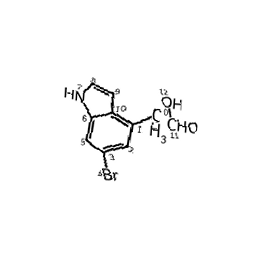 Cc1cc(Br)cc2[nH]ccc12.O=CO